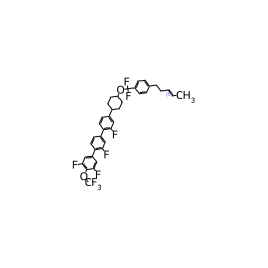 C/C=C/CCc1ccc(C(F)(F)OC2CCC(c3ccc(-c4ccc(-c5cc(F)c(OC(F)(F)F)c(F)c5)c(F)c4)c(F)c3)CC2)cc1